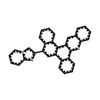 c1ccc2nc3c4ccccc4c4cc(-c5cn6ccccc6n5)c5ccccc5c4c3cc2c1